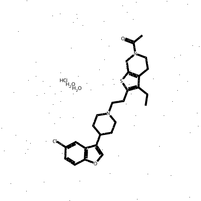 CCc1c(CCN2CCC(c3coc4ccc(Cl)cc34)CC2)sc2c1CCN(C(C)=O)C2.Cl.O.O